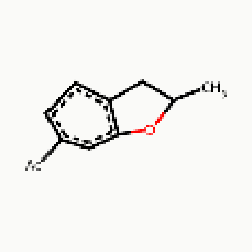 CC(=O)c1ccc2c(c1)OC(C)C2